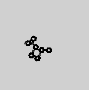 C1=Cc2c(c3cnccc3n2-c2ccc3c(c2)Oc2ccccc2-c2ccccc2Oc2cc(-c4ccccc4)ccc2-3)CC1